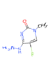 Cn1cc(F)c(NN)nc1=O